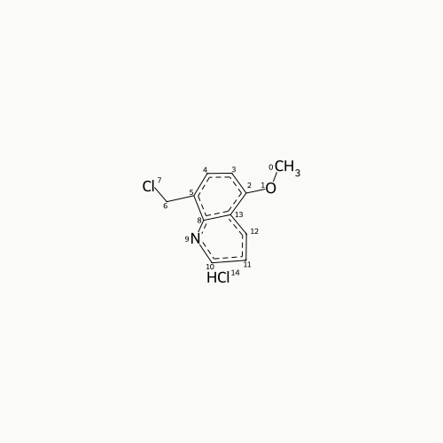 COc1ccc(CCl)c2ncccc12.Cl